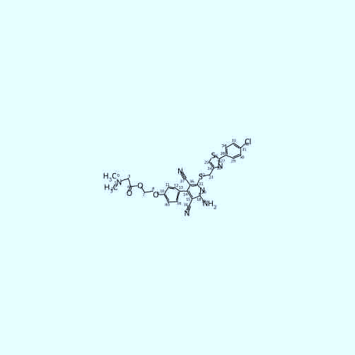 CN(C)CC(=O)OCCOc1ccc(-c2c(C#N)c(N)nc(SCc3csc(-c4ccc(Cl)cc4)n3)c2C#N)cc1